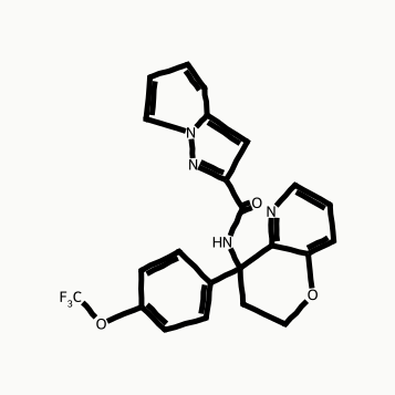 O=C(NC1(c2ccc(OC(F)(F)F)cc2)CCOc2cccnc21)c1cc2ccccn2n1